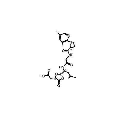 CC(C)C[C@H](NC(=O)CNC(=O)[C@@H]1CCN1c1ncc(F)cc1F)B1OC(=O)[C@H](CC(=O)O)O1